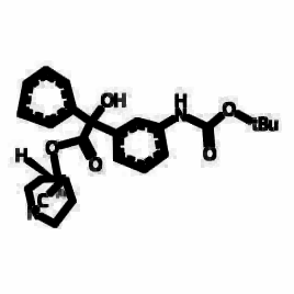 CC(C)(C)OC(=O)Nc1cccc(C(O)(C(=O)O[C@H]2CN3CCC2CC3)c2ccccc2)c1